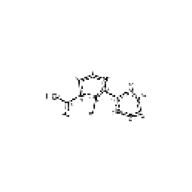 Cc1c(C(=O)O)ccnc1-c1ccccn1